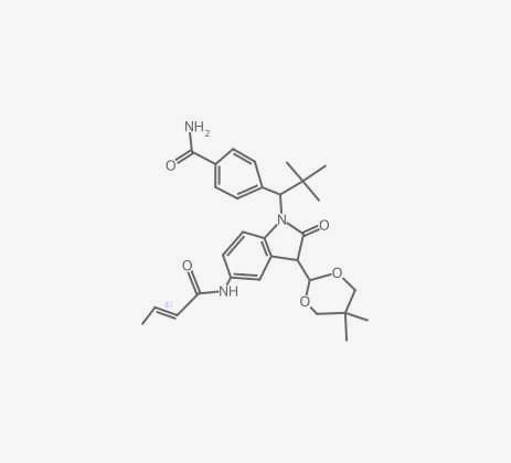 C/C=C/C(=O)Nc1ccc2c(c1)C(C1OCC(C)(C)CO1)C(=O)N2C(c1ccc(C(N)=O)cc1)C(C)(C)C